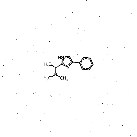 C[C@@H](c1nc(-c2ccccc2)c[nH]1)N(C)C